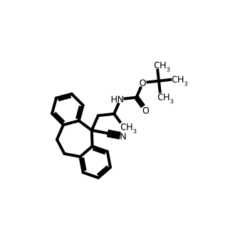 CC(CC1(C#N)c2ccccc2CCc2ccccc21)NC(=O)OC(C)(C)C